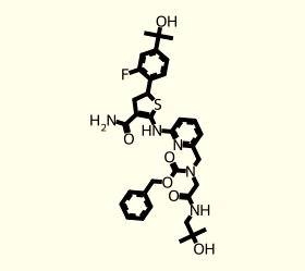 CC(C)(O)CNC(=O)CN(Cc1cccc(NC2=C(C(N)=O)CC(c3ccc(C(C)(C)O)cc3F)S2)n1)C(=O)OCc1ccccc1